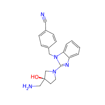 N#Cc1ccc(Cn2c(N3CC[C@](O)(CN)C3)nc3ccccc32)cc1